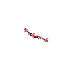 C=CC(=O)OCCCCOc1ccc(C(=O)Oc2ccc3c(c2)C(C)c2cc(OCCCCCCOC(=O)C(=C)F)ccc2-3)cc1